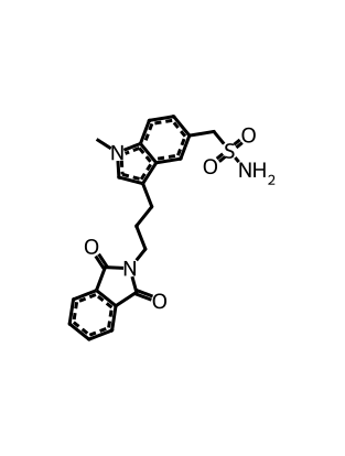 Cn1cc(CCCN2C(=O)c3ccccc3C2=O)c2cc(CS(N)(=O)=O)ccc21